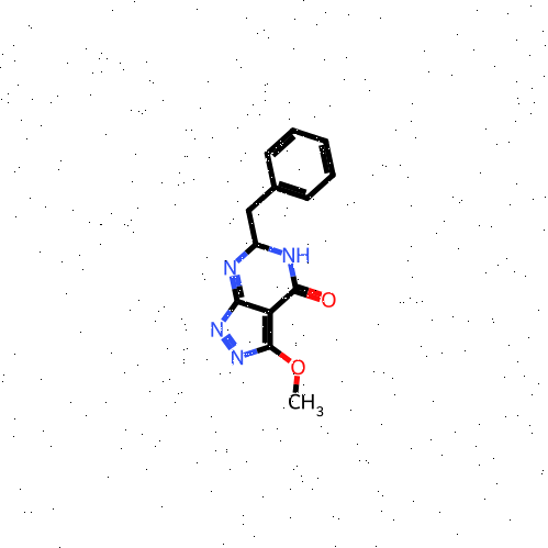 COC1=C2C(=O)NC(Cc3ccccc3)N=C2N=N1